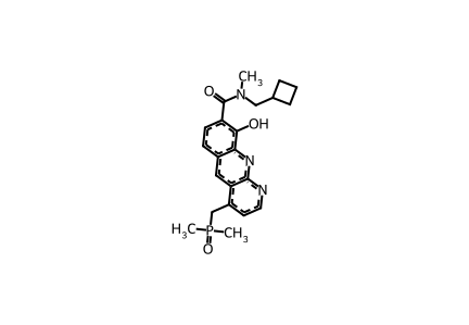 CN(CC1CCC1)C(=O)c1ccc2cc3c(CP(C)(C)=O)ccnc3nc2c1O